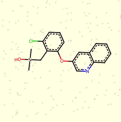 C[Si](C)(O)Cc1c(Cl)cccc1Oc1cnc2ccccc2c1